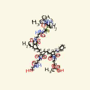 C=CC1CC(C=CC2CC(C=CC3CC(/C=C/c4ccccc4)C4C(=O)N(CCCOC(C)C(=O)O)C(=O)C34)C3C(=O)N(CCCC(=O)NCCO)C(=O)C23)C2C(=O)N(CCCC(=O)NCCSC(C)C(=O)NC(C)C)C(=O)C12